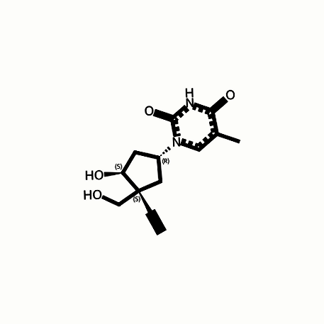 C#C[C@]1(CO)C[C@@H](n2cc(C)c(=O)[nH]c2=O)C[C@@H]1O